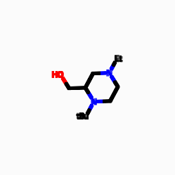 CCN1CCN(C(C)(C)C)C(CO)C1